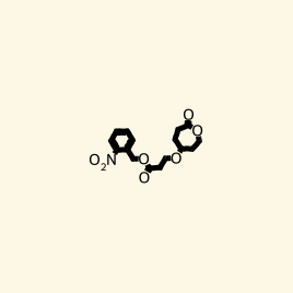 O=C1CCC(OCCC(=O)OCc2ccccc2[N+](=O)[O-])CCO1